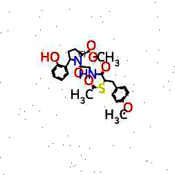 COC(=O)[C@@H]1CCC(c2ccccc2O)N1C(=O)CNC(=O)C(Cc1ccc(OC)cc1)SC(C)=O